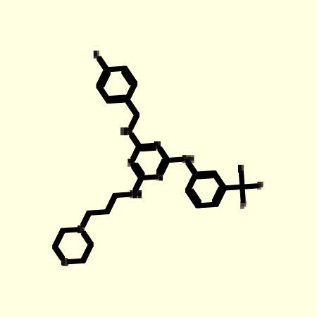 Fc1ccc(CNc2nc(NCCCN3CCOCC3)nc(Nc3cccc(C(F)(F)F)c3)n2)cc1